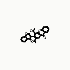 CC(=O)c1cc2c(=O)c3ccccc3oc2c(C(C)=O)c1-c1coc2ccccc2c1=O